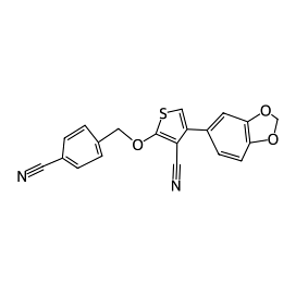 N#Cc1ccc(COc2scc(-c3ccc4c(c3)OCO4)c2C#N)cc1